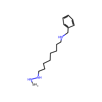 [SiH3]NNCCCCCCCCNCc1ccccc1